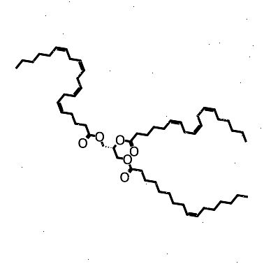 CCCCC/C=C\C/C=C\C/C=C\C/C=C\CCCC(=O)OC[C@@H](COC(=O)CCCCCCC/C=C\CCCCCC)OC(=O)CCCC/C=C\C/C=C\C/C=C\CCCCC